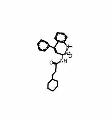 CN1c2ccccc2C(c2ccccc2)=C[C@H](NC(=O)CCC2CCCCC2)[N+]1=O